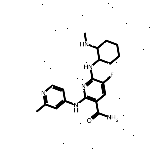 CNC1CCCCC1Nc1nc(Nc2ccnc(C)c2)c(C(N)=O)cc1F